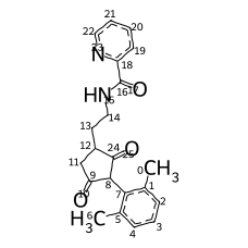 Cc1cccc(C)c1C1C(=O)CC(CCNC(=O)c2ccccn2)C1=O